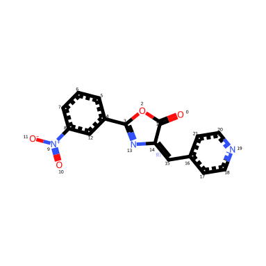 O=C1OC(c2cccc([N+](=O)[O-])c2)=N/C1=C/c1ccncc1